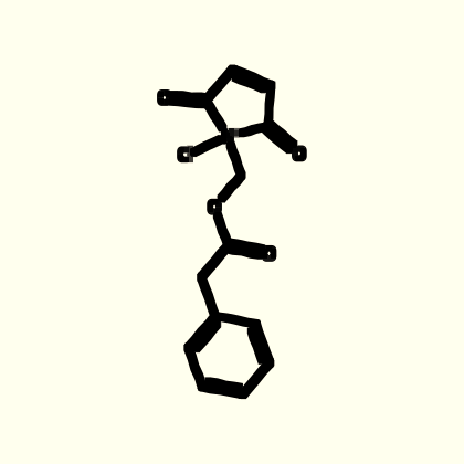 O=C(Cc1ccccc1)OC[N+]1(Cl)C(=O)C=CC1=O